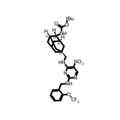 CC(C)(C)OC(=O)N[C@@H]1[C@@H]2CC3C[C@H]1C[C@@](CNc1nc(NCc4ccccc4OC(F)(F)F)ncc1[N+](=O)[O-])(C3)C2